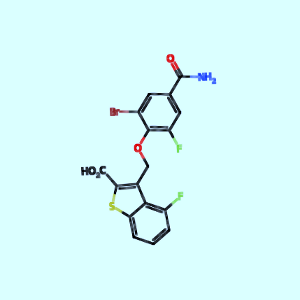 NC(=O)c1cc(F)c(OCc2c(C(=O)O)sc3cccc(F)c23)c(Br)c1